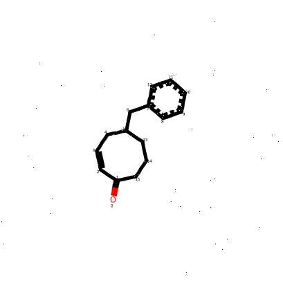 O=C1C=CCC(Cc2ccccc2)CCC1